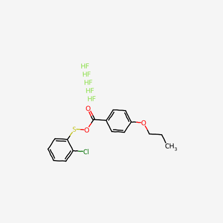 CCCOc1ccc(C(=O)OSc2ccccc2Cl)cc1.F.F.F.F.F